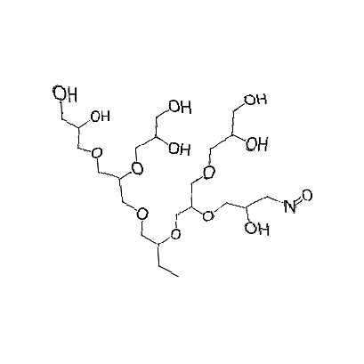 CCC(COCC(COCC(O)CO)OCC(O)CO)OCC(COCC(O)CO)OCC(O)CN=O